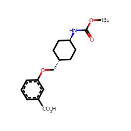 CC(C)(C)OC(=O)N[C@H]1CC[C@H](COc2cccc(C(=O)O)c2)CC1